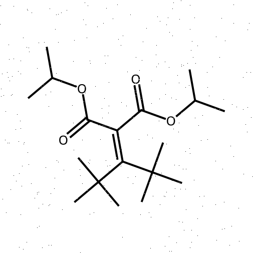 CC(C)OC(=O)C(C(=O)OC(C)C)=C(C(C)(C)C)C(C)(C)C